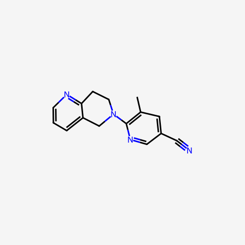 Cc1cc(C#N)cnc1N1CCc2ncccc2C1